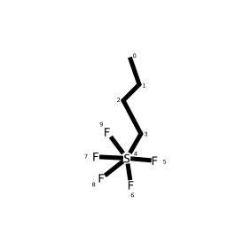 [CH2]CCCS(F)(F)(F)(F)F